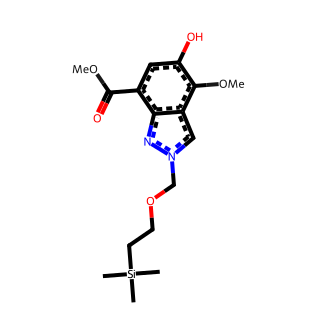 COC(=O)c1cc(O)c(OC)c2cn(COCC[Si](C)(C)C)nc12